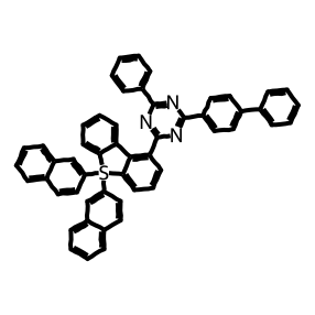 c1ccc(-c2ccc(-c3nc(-c4ccccc4)nc(-c4cccc5c4-c4ccccc4S5(c4ccc5ccccc5c4)c4ccc5ccccc5c4)n3)cc2)cc1